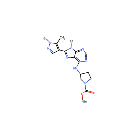 CCn1ncc(-c2nc3c(N[C@H]4CCN(C(=O)OC(C)(C)C)C4)ncnc3n2CC)c1C